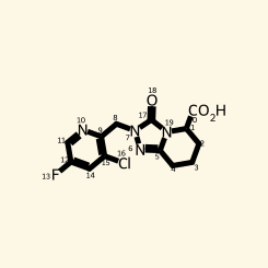 O=C(O)C1CCCc2nn(Cc3ncc(F)cc3Cl)c(=O)n21